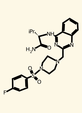 CC(C)[C@H](Nc1nc(CN2CCN(S(=O)(=O)c3ccc(F)cc3)CC2)nc2ccccc12)C(N)=O